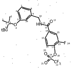 CC(C)(C)[Si](C)(C)Oc1cccc(CNC(=O)c2ccc(OS(=O)(=O)C(F)(F)F)c(F)c2)c1